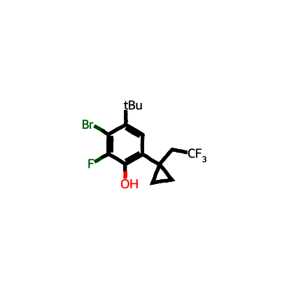 CC(C)(C)c1cc(C2(CC(F)(F)F)CC2)c(O)c(F)c1Br